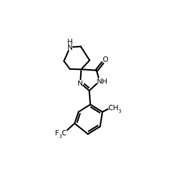 Cc1ccc(C(F)(F)F)cc1C1=NC2(CCNCC2)C(=O)N1